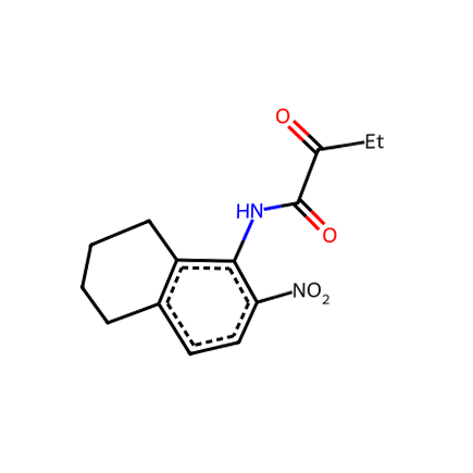 CCC(=O)C(=O)Nc1c([N+](=O)[O-])ccc2c1CCCC2